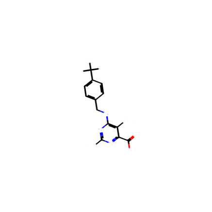 Cc1nc(NCc2ccc(C(C)(C)C)cc2)c(C)c(C(=O)O)n1